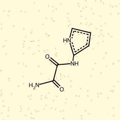 NC(=O)C(=O)Nc1ccc[nH]1